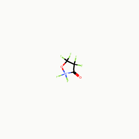 O=C1C(F)(F)C(F)(F)O[N+]1(F)F